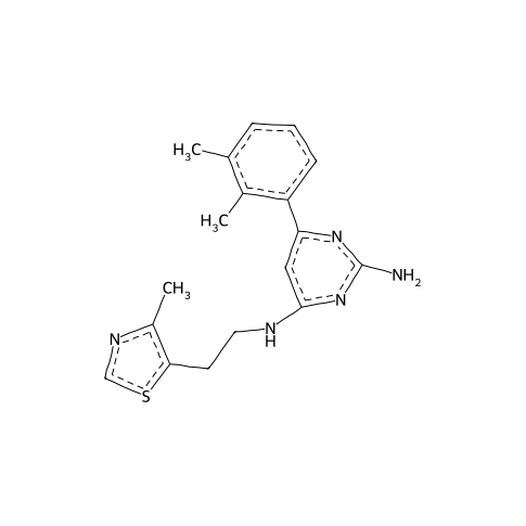 Cc1cccc(-c2cc(NCCc3scnc3C)nc(N)n2)c1C